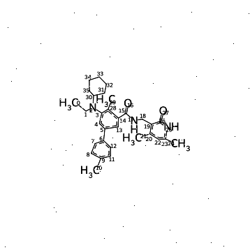 CCN(c1cc(-c2ccc(C)cc2)cc(C(=O)NCc2c(C)cc(C)[nH]c2=O)c1C)C1CCCCC1